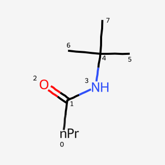 [CH2]CCC(=O)NC(C)(C)C